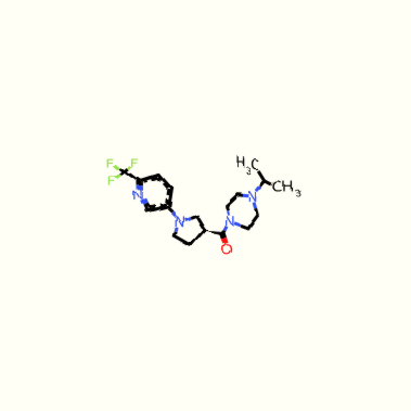 CC(C)N1CCN(C(=O)[C@H]2CCN(c3ccc(C(F)(F)F)nc3)C2)CC1